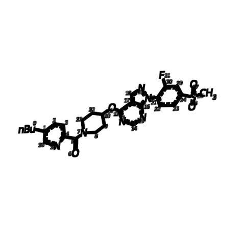 CCCCc1ccc(C(=O)N2CCC(Oc3ncnc4c3cnn4-c3ccc(S(C)(=O)=O)cc3F)CC2)nc1